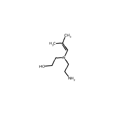 CC(C)=CN(CCN)CCO